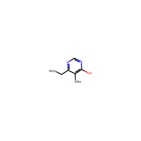 CSCc1ncnc(O)c1SC